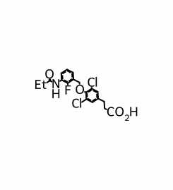 CCC(=O)Nc1cccc(COc2c(Cl)cc(CCC(=O)O)cc2Cl)c1F